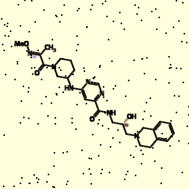 CO/N=C(\C)C(=O)N1CCCC(Nc2cc(C(=O)NC[C@H](O)CN3CCc4ccccc4C3)ncn2)C1